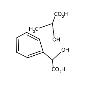 CC(O)C(=O)O.O=C(O)C(O)c1ccccc1